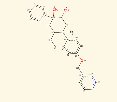 CCC12CC(O)C(O)(c3ccccc3)CC1CCc1cc(OCc3cccnc3)ccc12